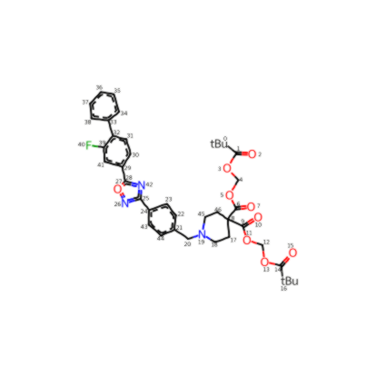 CC(C)(C)C(=O)OCOC(=O)C1(C(=O)OCOC(=O)C(C)(C)C)CCN(Cc2ccc(-c3noc(-c4ccc(-c5ccccc5)c(F)c4)n3)cc2)CC1